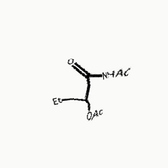 CCC(OC(C)=O)C(=O)NC(C)=O